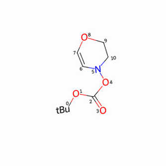 CC(C)(C)OC(=O)ON1C=COCC1